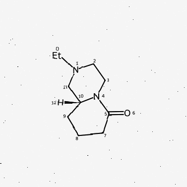 CCN1CCN2C(=O)CCC[C@@H]2C1